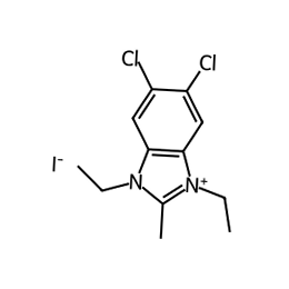 CCn1c(C)[n+](CC)c2cc(Cl)c(Cl)cc21.[I-]